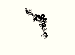 COc1cc(-c2nccc(-c3cccc(-c4cc5c(cn4)C(=O)N(CCNC[C@H]4CCC(=O)N4)C5)c3Cl)c2Cl)ccc1CNC[C@@H]1CCC(=O)N1